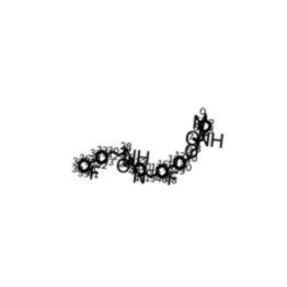 Cc1ccc(NC(=O)COCc2ccc(-c3ccc(Cc4ccc(C(=O)NC(C)CCc5ccc(-c6ccccc6F)cc5)cn4)cc3F)cc2)cn1